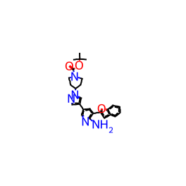 CC(C)(C)OC(=O)N1CCC(n2cc(-c3cnc(N)c(-c4cc5ccccc5o4)c3)cn2)CC1